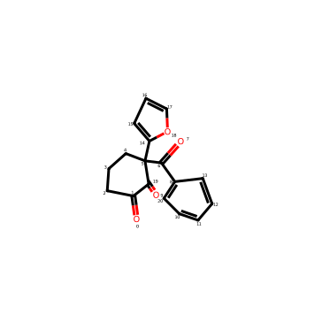 O=C1CCCC(C(=O)c2ccccc2)(c2ccco2)C1=O